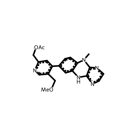 COCc1cnc(COC(C)=O)cc1-c1ccc2c(c1)Nc1nccnc1N2C